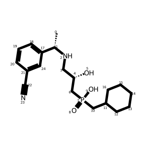 C[C@H](NC[C@H](O)CP(=O)(O)CC1CCCCC1)c1cccc(C#N)c1